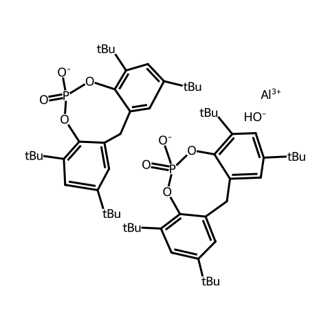 CC(C)(C)c1cc2c(c(C(C)(C)C)c1)OP(=O)([O-])Oc1c(cc(C(C)(C)C)cc1C(C)(C)C)C2.CC(C)(C)c1cc2c(c(C(C)(C)C)c1)OP(=O)([O-])Oc1c(cc(C(C)(C)C)cc1C(C)(C)C)C2.[Al+3].[OH-]